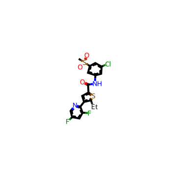 CCc1sc(C(=O)Nc2cc(Cl)cc(S(C)(=O)=O)c2)cc1-c1ncc(F)cc1F